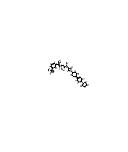 O=C(CNC(=O)c1cccc(C(F)(F)F)c1)NC1CN(C2CCC(c3ccc(N4CCCC4)cc3)CC2)C1